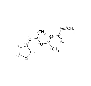 C=CC(=O)OC(C)OC(C)OC1CCCC1